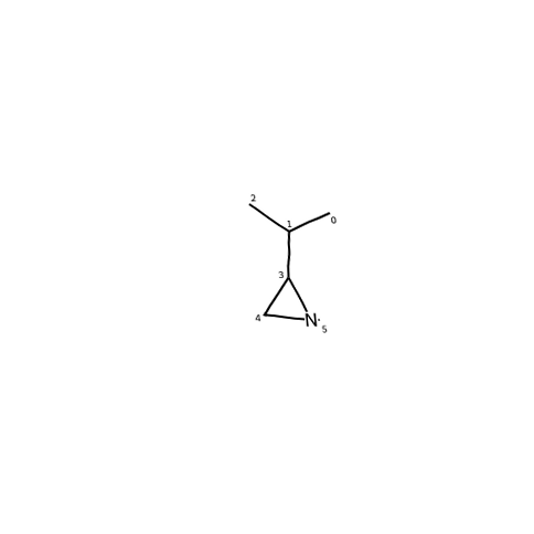 CC(C)C1C[N]1